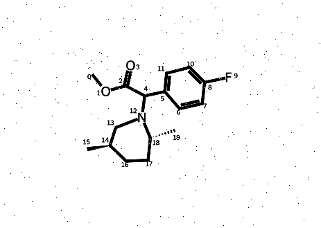 COC(=O)C(c1ccc(F)cc1)N1C[C@H](C)CC[C@H]1C